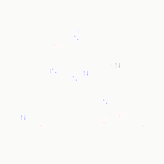 CN(C)[S+]([O-])c1ccc(Nc2nn(C3(CC#N)CCN(C(=O)OCC(F)(F)F)CC3)c3cc[nH]c(=O)c23)cc1